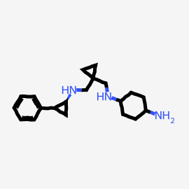 NC1CCC(NCC2(CN[C@H]3CC3c3ccccc3)CC2)CC1